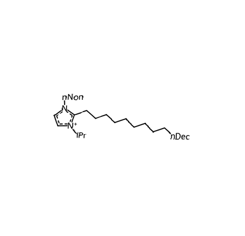 CCCCCCCCCCCCCCCCCCCc1n(CCCCCCCCC)cc[n+]1C(C)C